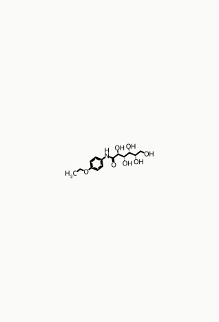 CCOc1ccc(NC(=O)[C@@H](O)[C@@H](O)[C@H](O)[C@@H](O)CO)cc1